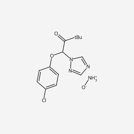 CC(C)(C)C(=O)C(Oc1ccc(Cl)cc1)n1cncn1.[NH3+][O-]